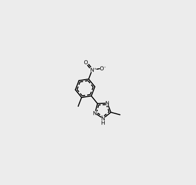 Cc1nc(-c2cc([N+](=O)[O-])ccc2C)n[nH]1